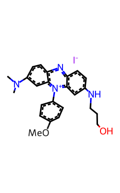 COc1ccc(-[n+]2c3cc(NCCCO)ccc3nc3ccc(N(C)C)cc32)cc1.[I-]